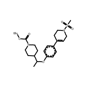 CC(Oc1ccc(C2=CCN(S(C)(=O)=O)CC2)cc1)C1CCN(C(=O)OC(C)(C)C)CC1